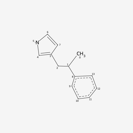 CC(CC1=C[N]C=C1)c1ccccc1